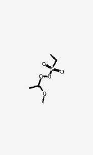 CCS(=O)(=O)OOC(C)OC